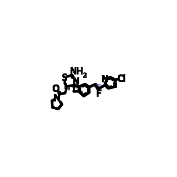 NC1=N[C@@]2(Cc3ccc(/C=C(\F)c4ccc(Cl)cn4)cc32)[C@@H](CC(=O)N2CCCC2)CS1